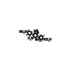 Nc1c(N)c(-c2ccc(C(=O)O)cc2)c2nsnc2c1-c1ccc(C(=O)O)cc1